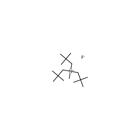 CC(C)(C)C[N+](C)(CC(C)(C)C)CC(C)(C)C.[F-]